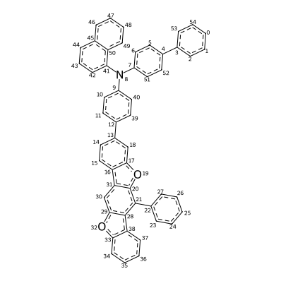 c1ccc(-c2ccc(N(c3ccc(-c4ccc5c(c4)oc4c(-c6ccccc6)c6c(cc45)oc4ccccc46)cc3)c3cccc4ccccc34)cc2)cc1